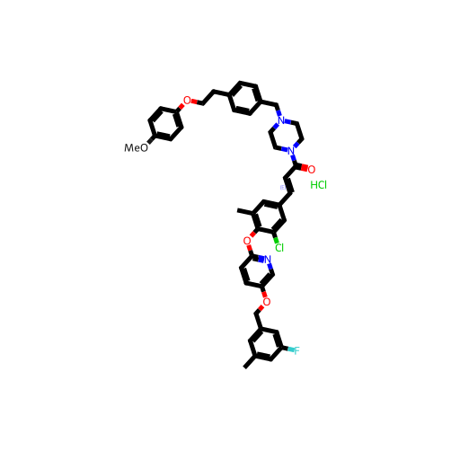 COc1ccc(OCCc2ccc(CN3CCN(C(=O)/C=C/c4cc(C)c(Oc5ccc(OCc6cc(C)cc(F)c6)cn5)c(Cl)c4)CC3)cc2)cc1.Cl